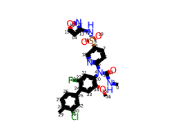 CNC(=O)N(c1ccc(S(=O)(=O)Nc2ccon2)cn1)c1cc(F)c(-c2ccc(C)c(Cl)c2)cc1OC